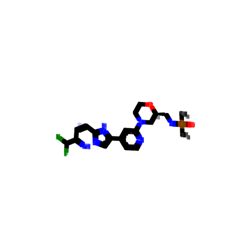 CS(C)(=O)=NC[C@@H]1CN(c2cc(-c3cnc(/C=C\C(=N)C(F)F)[nH]3)ccn2)CCO1